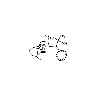 CCCCCCCCC(C=C1C(=O)C2(C)CCC1C2(C)C)CC(c1ccccc1)C(C)(C)N